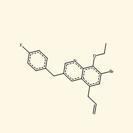 C=CCc1cc(Br)c(OCC)c2ncc(Cc3ccc(F)cc3)cc12